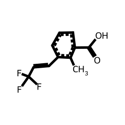 Cc1c(C=CC(F)(F)F)cccc1C(=O)O